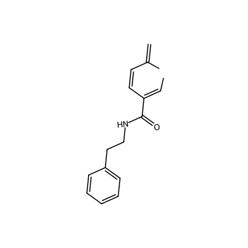 C=C(C)/C=C\C(=C/C)C(=O)NCCc1ccccc1